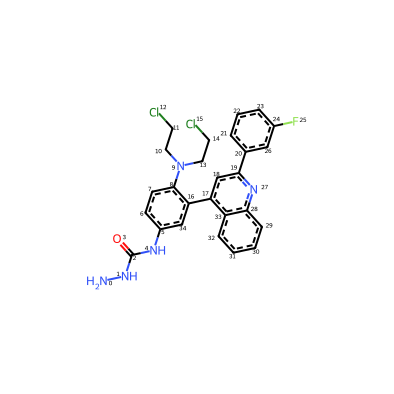 NNC(=O)Nc1ccc(N(CCCl)CCCl)c(-c2cc(-c3cccc(F)c3)nc3ccccc23)c1